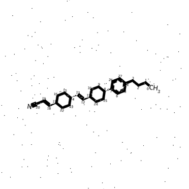 CCCCc1ccc([C@H]2CC[C@H](C=C[C@H]3CC[C@H](C=CC#N)CC3)CC2)cc1